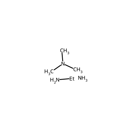 CCN.CN(C)C.N